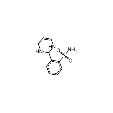 NS(=O)(=O)c1ccccc1C1NC=CCN1